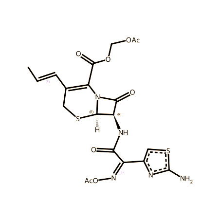 C/C=C/C1=C(C(=O)OCOC(C)=O)N2C(=O)[C@@H](NC(=O)/C(=N\OC(C)=O)c3csc(N)n3)[C@H]2SC1